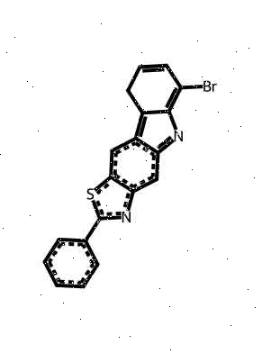 BrC1=C2N=c3cc4nc(-c5ccccc5)sc4cc3=C2CC=C1